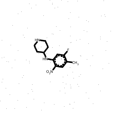 Cc1cc([N+](=O)[O-])c(NC2CCNCC2)cc1F